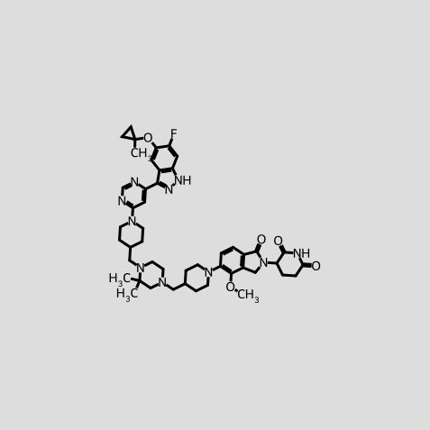 COc1c(N2CCC(CN3CCN(CC4CCN(c5cc(-c6n[nH]c7cc(F)c(OC8(C)CC8)cc67)ncn5)CC4)C(C)(C)C3)CC2)ccc2c1CN(C1CCC(=O)NC1=O)C2=O